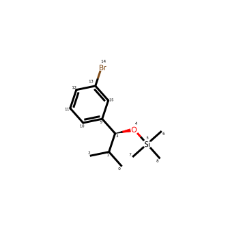 CC(C)[C@H](O[Si](C)(C)C)c1cccc(Br)c1